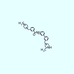 CC1CN(Cc2cccc(-c3cccc(CNC(=O)c4cccc(CN5CCN(C)CC5)c4)c3)c2)CCN1